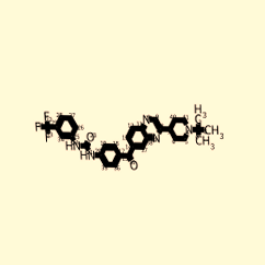 CC(C)(C)N1CCC(c2cnc3ccc(C(=O)c4ccc(NC(=O)Nc5cccc(C(F)(F)F)c5)cc4)cc3n2)CC1